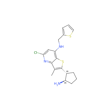 Cc1c([C@@H]2CCC[C@H]2N)sc2c(NCc3cccs3)cc(Cl)nc12